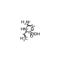 C=CC(NC(N)=S)S(=O)(=O)O